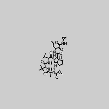 CCC[C@H](NC(=O)C1[C@H]2CCC[C@H]2CN1C(=O)[C@@H](NC(=O)[C@@H](NC(=O)[C@H](C)NC(=O)OC)C(C)(C)C)C(C)C)C(=O)C(=O)NC1CC1